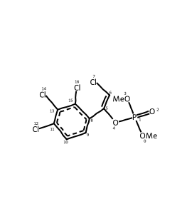 COP(=O)(OC)O/C(=C/Cl)c1ccc(Cl)c(Cl)c1Cl